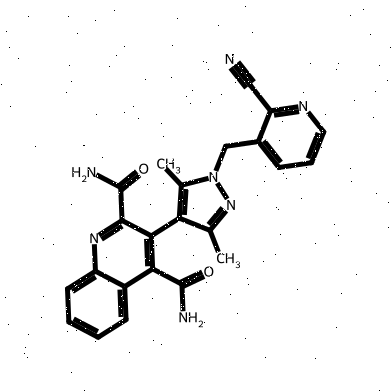 Cc1nn(Cc2cccnc2C#N)c(C)c1-c1c(C(N)=O)nc2ccccc2c1C(N)=O